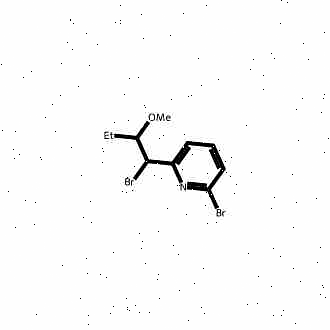 CCC(OC)C(Br)c1cccc(Br)n1